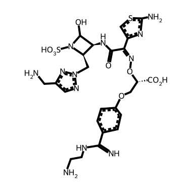 N=C(NCCN)c1ccc(OC[C@H](O/N=C(\C(=O)N[C@@H]2C(O)N(S(=O)(=O)O)[C@@H]2Cn2ncc(CN)n2)c2csc(N)n2)C(=O)O)cc1